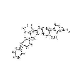 Cc1cn2nc([C@@H]3CCCCN3C(=O)c3ccc(-c4cccnc4)cc3)cc2nc1N1CC[C@H](N)C1